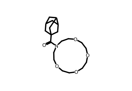 O=C(N1CCOCCOCCOCCOCC1)C12CC3CC(C1)C(C3)C2